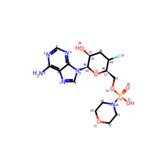 Nc1ncnc2c1ncn2[C@@H]1O[C@H](COP(=O)(O)N2CCOCC2)C(F)C[C@@H]1O